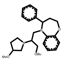 COC1CCN(C(COCC(C)C)CN2c3ccccc3OCCC2c2ccccc2)C1